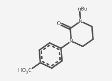 CCCCN1CCCN(c2ccc(C(=O)O)cc2)C1=O